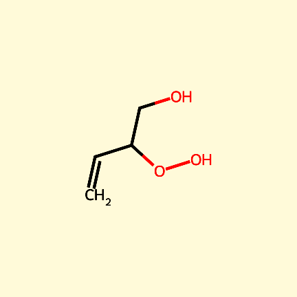 C=CC(CO)OO